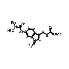 CCN(C)C(=O)Oc1ccc2c(CCC(=O)OC)cn(C)c2c1